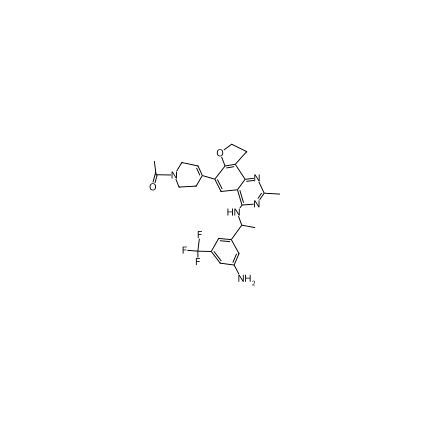 CC(=O)N1CC=C(c2cc3c(NC(C)c4cc(N)cc(C(F)(F)F)c4)nc(C)nc3c3c2OCC3)CC1